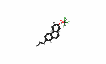 CCCc1ccc2c(ccc3cc(OC(F)(F)F)ccc32)c1